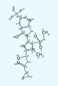 CCS(=O)(=O)c1c(N2Cc3ncc(C(F)(F)F)cc3C2=O)nc(C2CC(C3CC3)=NO2)n1C